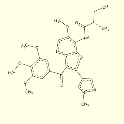 COc1cc(C(=O)c2c(-c3cnn(C)c3)oc3c(NC(=O)[C@@H](N)CO)c(OC)ccc23)cc(OC)c1OC